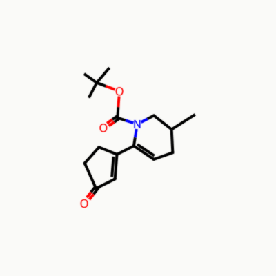 CC1CC=C(C2=CC(=O)CC2)N(C(=O)OC(C)(C)C)C1